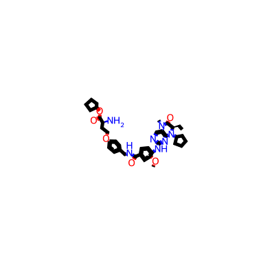 CC[C@@H]1C(=O)N(C)c2cnc(Nc3ccc(C(=O)NCc4ccc(OCC[C@H](N)C(=O)OC5CCCC5)cc4)cc3OC)nc2N1C1CCCC1